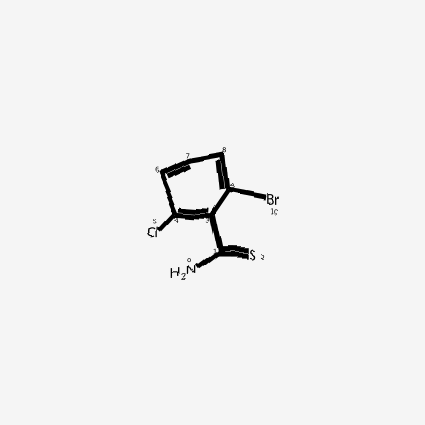 NC(=S)c1c(Cl)cccc1Br